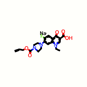 C=CCOC(=O)N1CCN(c2cc3c(cc2F)c(=O)c(C(=O)O)cn3CC)CC1.[Na]